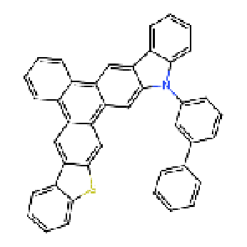 c1ccc(-c2cccc(-n3c4ccccc4c4cc5c6ccccc6c6cc7c(cc6c5cc43)sc3ccccc37)c2)cc1